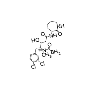 BC(=O)N(C)[C@H](Cc1ccc(Cl)c(Cl)c1)C(O)CC(=O)NC1CCCCNC1=O